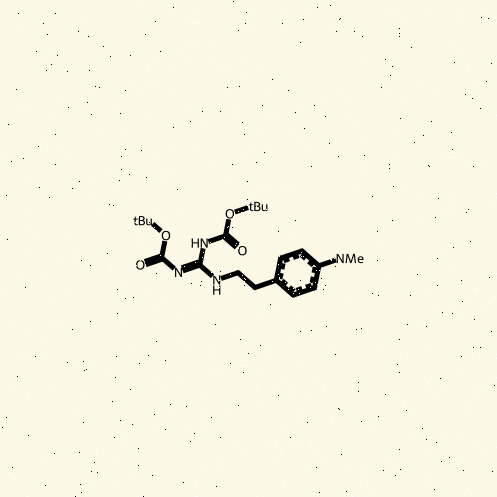 CNc1ccc(CCNC(=NC(=O)OC(C)(C)C)NC(=O)OC(C)(C)C)cc1